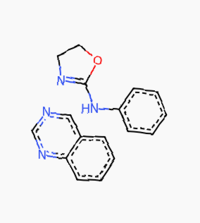 c1ccc(NC2=NCCO2)cc1.c1ccc2ncncc2c1